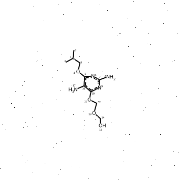 CC(C)COc1nc(N)nc(OCOCO)c1N